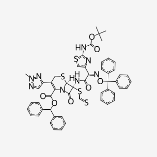 Cn1ncc(C2=C(C(=O)OC(c3ccccc3)c3ccccc3)N3C(=O)[C@](NC(=O)/C(=N\OC(c4ccccc4)(c4ccccc4)c4ccccc4)c4csc(NC(=O)OC(C)(C)C)n4)(SC=S)[C@@H]3SC2)n1